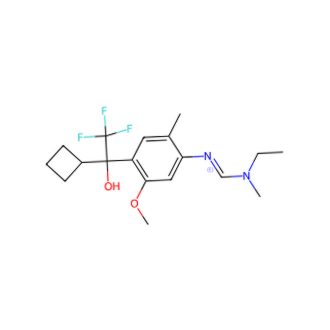 CCN(C)/C=N/c1cc(OC)c(C(O)(C2CCC2)C(F)(F)F)cc1C